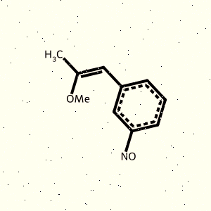 CO/C(C)=C\c1cccc(N=O)c1